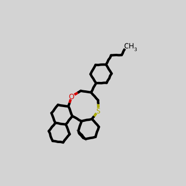 CCCC1CCC(C2COC3CCC4CCCCC4C3C3C(CCC4CCCCC43)SC2)CC1